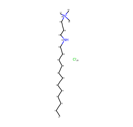 CCCCCCCCCCCCNCCC[N+](C)(C)C.[Cl-]